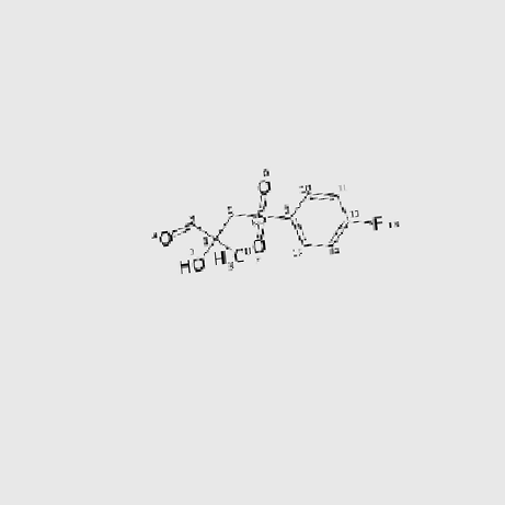 CC(O)(C=O)CS(=O)(=O)c1ccc(F)cc1